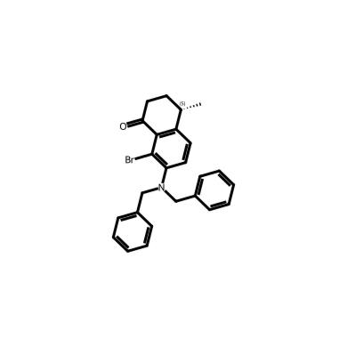 C[C@H]1CCC(=O)c2c1ccc(N(Cc1ccccc1)Cc1ccccc1)c2Br